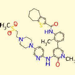 Cc1c(NC(=O)c2cc3c(s2)CCCCC3)cccc1-c1cc(Nc2ccc(N3CCN(CCS(C)(=O)=O)CC3)cn2)c(=O)n(C)c1